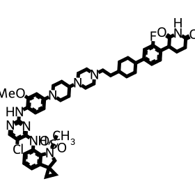 COc1cc(N2CCC(N3CCN(CCC4CCC(c5ccc(C6CCC(=O)NC6=O)c(F)c5)CC4)CC3)CC2)ccc1Nc1ncc(Cl)c(Nc2cccc3c2N(S(C)(=O)=O)CC32CC2)n1